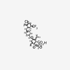 O=C(O)C1COCN1C(=O)c1cc(C2CC2)c(OCC2CCN(Cc3cc(C(F)(F)F)cc(Cl)c3F)CC2)cc1F